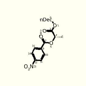 CCCCCCCCCCOC(=O)[C@H](C)OC(=O)c1ccc([N+](=O)[O-])cc1